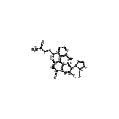 CC(C)c1cccc(NCCC(N)=O)c1-n1c(=O)[nH]c(=O)c2cc(F)c(C3C=CC=C3F)nc21